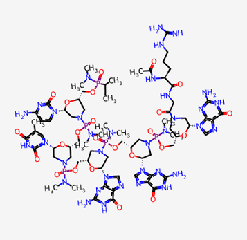 CC(=O)N[C@@H](CCCNC(=N)N)C(=O)NCC(=O)N1C[C@@H](COP(=O)(N(C)C)N2C[C@@H](COP(=O)(N(C)C)N3C[C@@H](COP(=O)(N(C)C)N4C[C@@H](COP(=O)(N(C)C)N5C[C@@H](COP(=O)(C(C)C)N(C)C)O[C@@H](n6ccc(N)nc6=O)C5)O[C@@H](n5cc(C)c(=O)[nH]c5=O)C4)O[C@@H](n4cnc5c(=O)[nH]c(N)nc54)C3)O[C@@H](n3cnc4c(=O)[nH]c(N)nc43)C2)O[C@@H](n2cnc3c(=O)[nH]c(N)nc32)C1